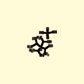 CC(O)[PH](C(C)O)(C(C)O)C(C)O.O=S(=O)(O)O